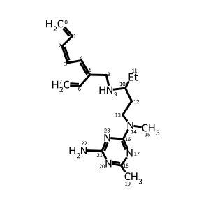 C=C/C=C\C=C(/C=C)CNC(CC)CCN(C)c1nc(C)nc(N)n1